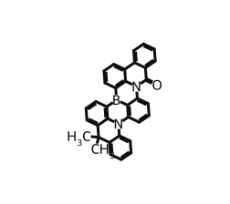 CC1(C)c2ccccc2N2c3cccc4c3B(c3cccc1c32)c1cccc2c3ccccc3c(=O)n-4c12